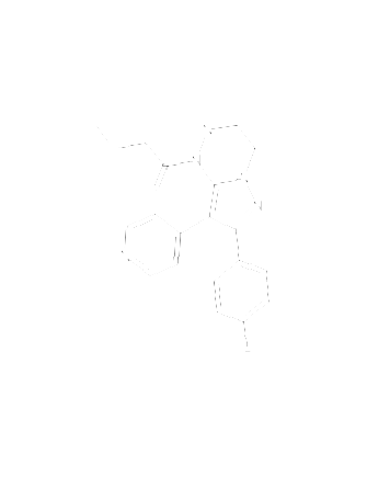 COCC(=O)N1NCCn2nc(-c3ccc(F)cc3)c(-c3ccncc3)c21